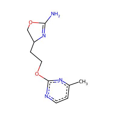 Cc1ccnc(OCCC2COC(N)=N2)n1